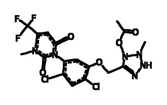 CC(=O)ON1C(COc2cc(-n3c(=O)cc(C(F)(F)F)n(C)c3=O)c(Cl)cc2Cl)=NNN1C